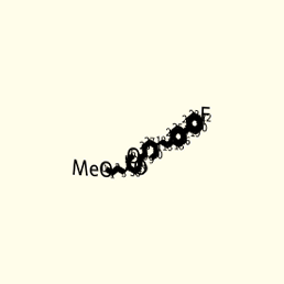 COCCC[C@H]1CO[C@H]([C@H]2CC[C@H](CCc3ccc(-c4ccc(F)cc4)cc3)CC2)OC1